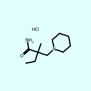 CCC(C)(CN1CCCCC1)C(N)=O.Cl